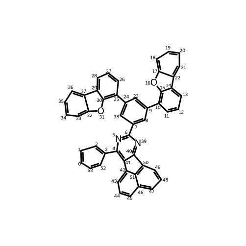 c1ccc(-c2nc(-c3cc(-c4cccc5c4oc4ccccc45)cc(-c4cccc5c4oc4ccccc45)c3)nc3c2-c2cccc4cccc-3c24)cc1